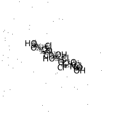 CCc1oc(-c2cc(Cl)c(OCCC(O)C(O)CCOc3c(Cl)cc(CCC(=O)O)cc3Cl)c(Cl)c2)nc1C(=O)O